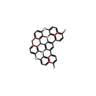 Fc1ccc(-c2cc(-c3ccc(F)cc3)c(N3c4ccccc4Oc4ccccc43)c(C3CCCCC3)c2N2c3ccccc3Oc3ccccc32)cc1